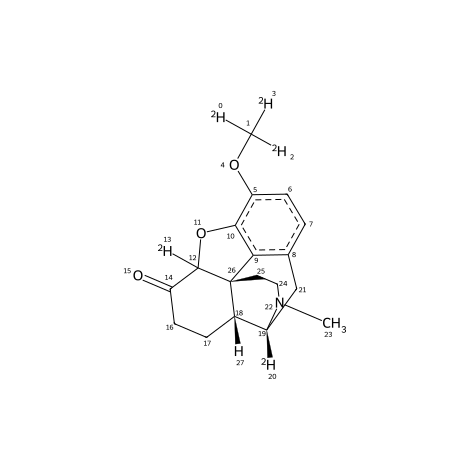 [2H]C([2H])([2H])Oc1ccc2c3c1OC1([2H])C(=O)CC[C@H]4[C@@]([2H])(C2)N(C)CC[C@@]341